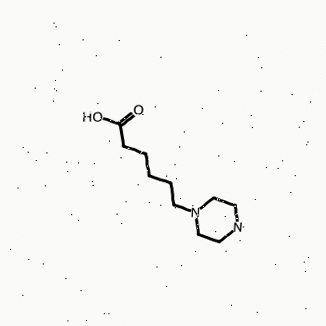 O=C(O)CCCCCN1CC[N]CC1